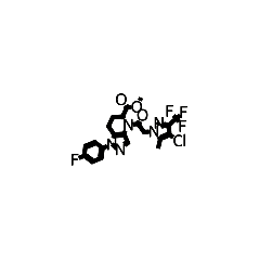 COC(=O)C1CCc2c(cnn2-c2ccc(F)cc2)N1C(=O)Cn1nc(C(F)(F)F)c(Cl)c1C